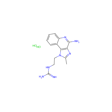 Cc1nc2c(N)nc3ccccc3c2n1CCNC(=N)N.Cl.Cl